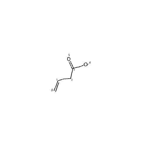 C=CCC([O])=O